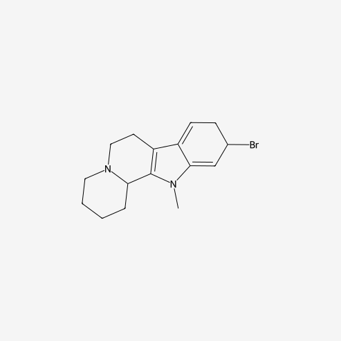 Cn1c2c(c3c1=CC(Br)CC=3)CCN1CCCCC21